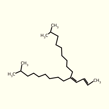 CC=CC=C(CCCCCCCC(C)C)CCCCCCCC(C)C